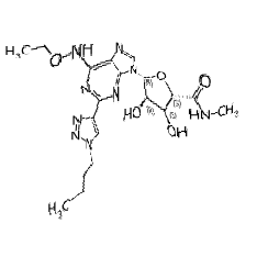 CCCCn1cc(-c2nc(NOCC)c3ncn([C@@H]4O[C@H](C(=O)NC)[C@@H](O)[C@H]4O)c3n2)nn1